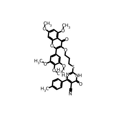 COc1cc(OC)c2c(=O)c(OCCCSc3nc(-c4ccc(C)cc4)c(C#N)c(=O)[nH]3)c(-c3cc(OC)c(OC)c(OC)c3)oc2c1